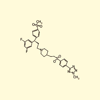 Cn1nnc(-c2ccc(S(=O)(=O)CCC3CCN(CC[C@H](c4ccc(S(C)(=O)=O)cc4)c4cc(F)cc(F)c4)CC3)cc2)n1